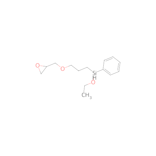 CCO[SiH](CCCOCC1CO1)c1ccccc1